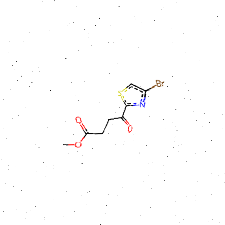 COC(=O)CCC(=O)c1nc(Br)cs1